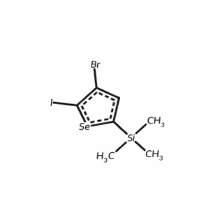 C[Si](C)(C)c1cc(Br)c(I)[se]1